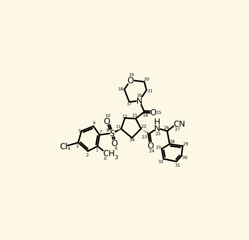 Cc1cc(Cl)ccc1S(=O)(=O)[C@H]1CC(C(=O)N2CCOCC2)[C@H](C(=O)NC(C#N)c2ccccc2)C1